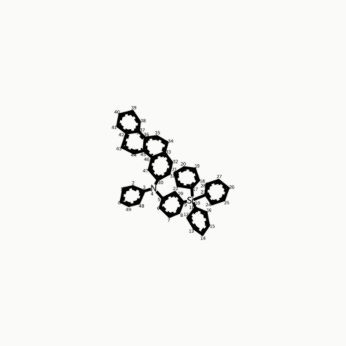 c1ccc(N(c2cccc([Si](c3ccccc3)(c3ccccc3)c3ccccc3)c2)c2ccc3ccc4c5ccccc5ccc4c3c2)cc1